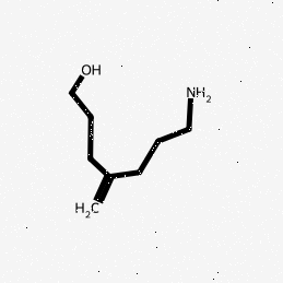 C=C(CCCN)CCCO